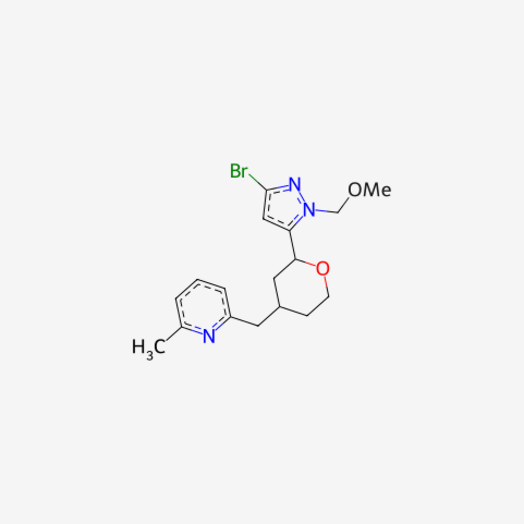 COCn1nc(Br)cc1C1CC(Cc2cccc(C)n2)CCO1